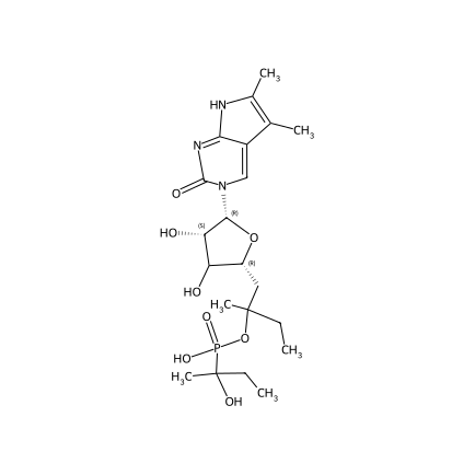 CCC(C)(C[C@H]1O[C@@H](n2cc3c(C)c(C)[nH]c3nc2=O)[C@@H](O)C1O)OP(=O)(O)C(C)(O)CC